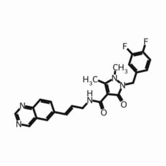 Cc1c(C(=O)NC/C=C/c2ccc3ncncc3c2)c(=O)n(Cc2ccc(F)c(F)c2)n1C